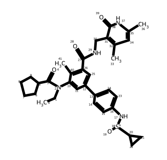 CCN(C(=O)C1CCCC1)c1cc(-c2ccc(N[S+]([O-])C3CC3)cc2)cc(C(=O)NCc2c(C)cc(C)[nH]c2=O)c1C